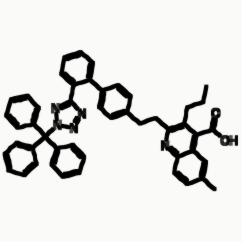 CCCc1c(CCc2ccc(-c3ccccc3-c3nnn(C(c4ccccc4)(c4ccccc4)c4ccccc4)n3)cc2)nc2ccc(C)cc2c1C(=O)O